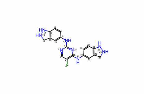 Fc1cnc(Nc2ccc3c(c2)CNN3)nc1Nc1ccc2c(c1)CNN2